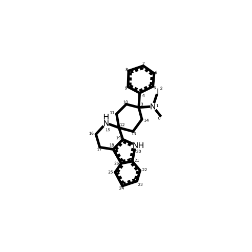 CN(I)C1(c2ccccc2)CCC2(CC1)NCCc1c2[nH]c2ccccc12